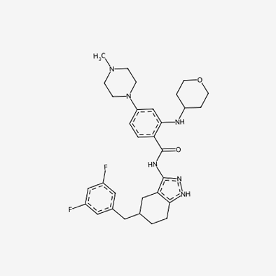 CN1CCN(c2ccc(C(=O)Nc3n[nH]c4c3CC(Cc3cc(F)cc(F)c3)CC4)c(NC3CCOCC3)c2)CC1